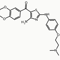 CN(C)CCOc1ccc(Nc2nc(N)c(C(=O)c3ccc4c(c3)OCCO4)s2)cc1